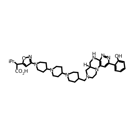 CC(C)C(C(=O)O)c1cc(N2CCC(N3CCC(N4CCC(CN5CCN6c7cc(-c8ccccc8O)nnc7NC[C@H]6C5)CC4)CC3)CC2)no1